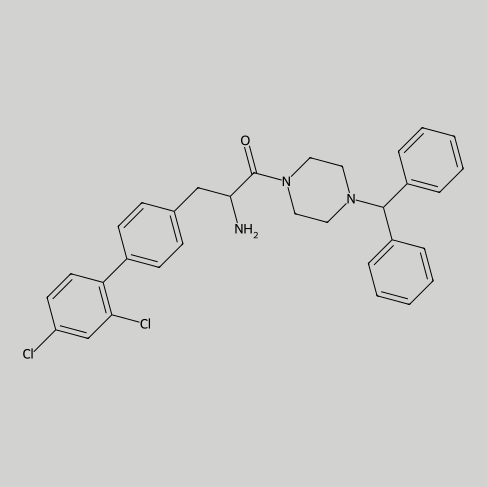 NC(Cc1ccc(-c2ccc(Cl)cc2Cl)cc1)C(=O)N1CCN(C(c2ccccc2)c2ccccc2)CC1